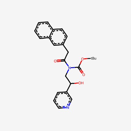 CC(C)(C)OC(=O)N(CC(O)c1cccnc1)C(=O)Cc1ccc2ccccc2c1